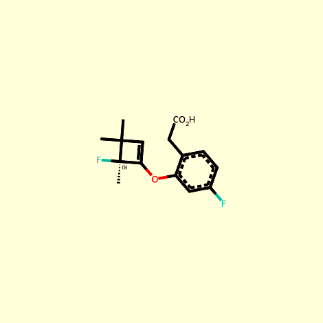 CC1(C)C=C(Oc2cc(F)ccc2CC(=O)O)[C@@]1(C)F